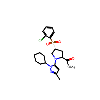 COC(=O)C1C[C@@H](S(=O)(=O)c2ccccc2Cl)CN1c1cc(C)nn1C1CCCCC1